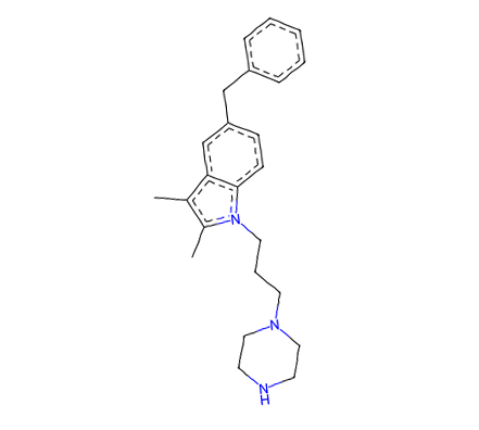 Cc1c(C)n(CCCN2CCNCC2)c2ccc(Cc3ccccc3)cc12